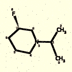 CC(C)N1CCC[C@H](F)C1